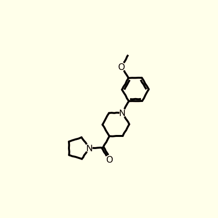 COc1cccc(N2CCC(C(=O)N3CCCC3)CC2)c1